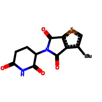 CC(C)(C)c1csc2c1C(=O)N(C1CCC(=O)NC1=O)C2=O